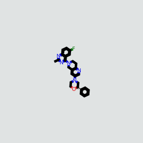 Cc1nc(N2CCc3ncc(N4CCO[C@@H](c5ccccc5)C4)cc3C2)c2cc(F)ccc2n1